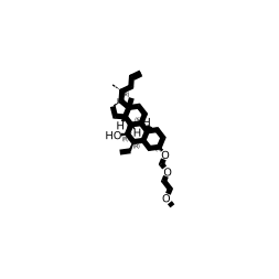 C=CC[C@@H](C)[C@H]1CC[C@H]2[C@@H]3[C@H](O)[C@H](CC)C4C[C@H](OCOCCOC)CCC4(C)[C@H]3CCC12C